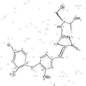 COC(=O)[C@H](CO)NC1=NC(=O)/C(=C/c2ccc(Oc3ccc(C#N)cc3C(F)(F)F)c(OC)c2)S1